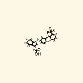 O=C(O)Cc1cn(Cc2cccc(Oc3ccccc3C(F)(F)F)c2)c2ccccc12